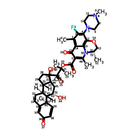 Cc1c(F)c(N2CCN(C)CC2)c2c3c1c(=O)c(C(=O)OC(C)(C)C(=O)[C@@]1(O)CC[C@H]4[C@@H]5CCC6=CC(=O)C=C[C@]6(C)[C@H]5[C@@H](O)C[C@@]41C)c(C)n3[C@@H](C)CO2